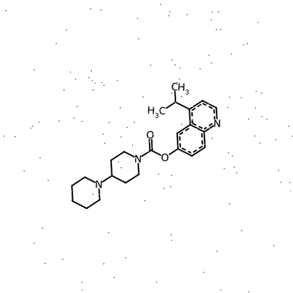 CC(C)c1ccnc2ccc(OC(=O)N3CCC(N4CCCCC4)CC3)cc12